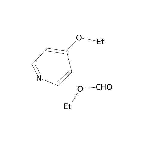 CCOC=O.CCOc1ccncc1